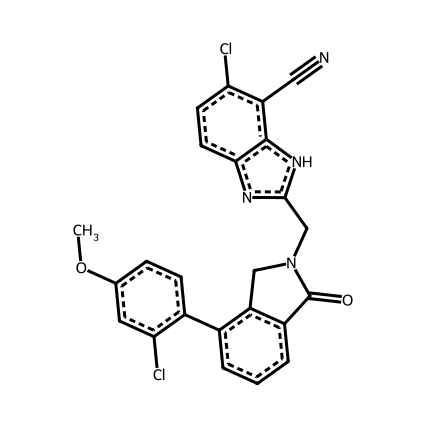 COc1ccc(-c2cccc3c2CN(Cc2nc4ccc(Cl)c(C#N)c4[nH]2)C3=O)c(Cl)c1